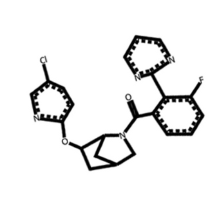 O=C(c1cccc(F)c1-c1ncccn1)N1CC2CC(Oc3ccc(Cl)cn3)C1C2